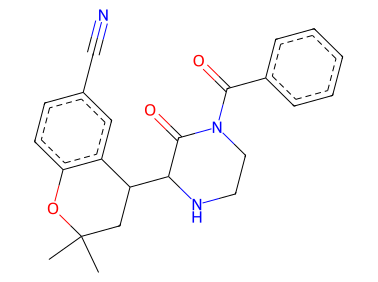 CC1(C)CC(C2NCCN(C(=O)c3ccccc3)C2=O)c2cc(C#N)ccc2O1